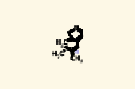 C=C1CN=CC=C1/C=C(/C)SC